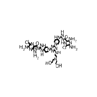 N=C(NC(=O)c1nc(Cl)c(N)nc1N)NC1CCN(c2nc(NCCN(CCO)CCO)nc(N3CCC(NC(=N)NC(=O)c4nc(Cl)c(N)nc4N)CC3)n2)CC1